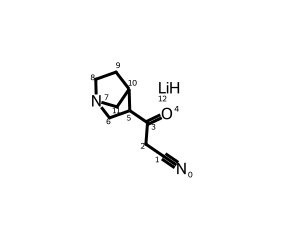 N#CCC(=O)C1CN2CCC1C2.[LiH]